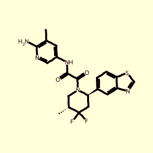 Cc1cc(NC(=O)C(=O)N2C[C@@H](C)C(F)(F)C[C@@H]2c2ccc3scnc3c2)cnc1N